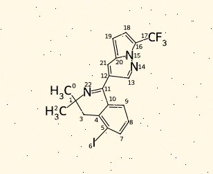 CC1(C)Cc2c(I)cccc2C(c2cnn3c(C(F)(F)F)ccc3c2)=N1